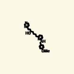 COc1ccc(CNc2cccc(CCCCC(O)/C=C/c3ccncn3)n2)cc1